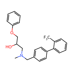 CN(Cc1ccc(-c2ccccc2C(F)(F)F)cc1)CC(O)COc1ccccc1